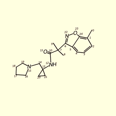 Cc1cccc2c(C(C)(C)C(=O)NC3(CN4CCCC4)CC3)noc12